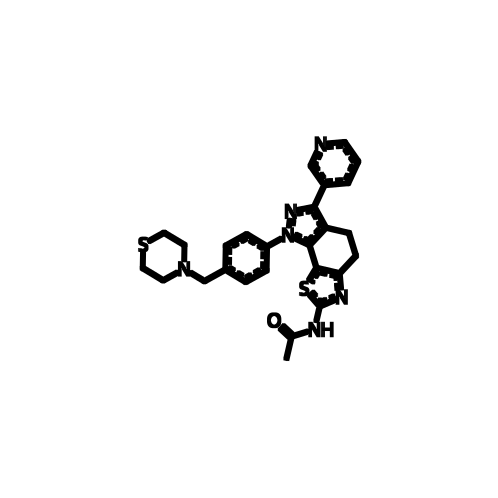 CC(=O)Nc1nc2c(s1)-c1c(c(-c3cccnc3)nn1-c1ccc(CN3CCSCC3)cc1)CC2